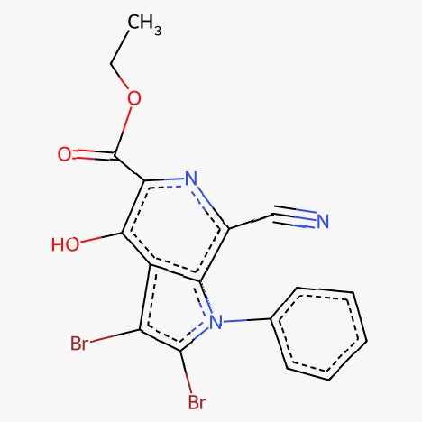 CCOC(=O)c1nc(C#N)c2c(c1O)c(Br)c(Br)n2-c1ccccc1